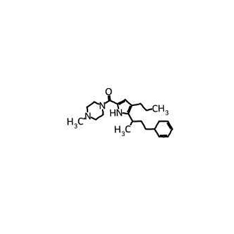 CCCc1cc(C(=O)N2CCN(C)CC2)[nH]c1C(C)CCC1C=CC=CC1